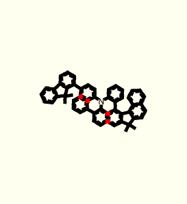 CC1(C)c2cccc(-c3ccccc3N(c3ccc(-c4cccc5c4C(C)(C)c4ccccc4-5)cc3)c3ccccc3-c3ccccc3)c2-c2c1ccc1ccccc21